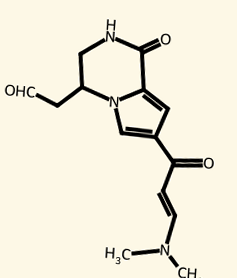 CN(C)/C=C/C(=O)c1cc2n(c1)C(CC=O)CNC2=O